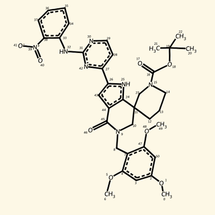 COc1cc(OC)c(CN2CC3(CCCN(C(=O)OC(C)(C)C)C3)c3[nH]c(-c4ccnc(Nc5ccccc5[N+](=O)[O-])n4)cc3C2=O)c(OC)c1